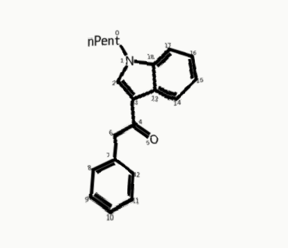 CCCCCn1cc(C(=O)Cc2ccccc2)c2ccccc21